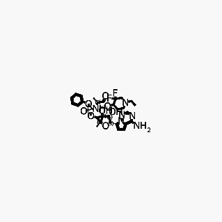 CCN1CCC(OC(=O)[C@H](C)NP(=O)(Oc2ccccc2)OC2[C@@]3(C)O[C@@H](c4ccc5c(N)ncnn45)[C@H](O)[C@@]23O)C(F)(F)C1